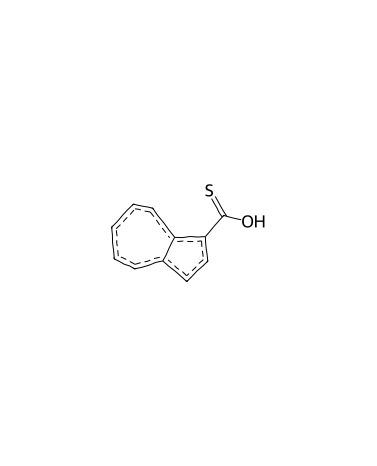 OC(=S)c1ccc2cccccc1-2